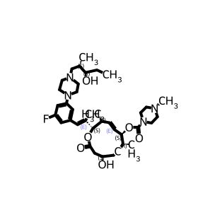 CC[C@@H](O)[C@@H](C)CN1CCN(c2cc(F)cc(/C=C(\C)[C@H]3OC(=O)C[C@@H](O)CC[C@@H](C)[C@H](OC(=O)N4CCN(C)CC4)/C=C/[C@@H]3C)c2)CC1